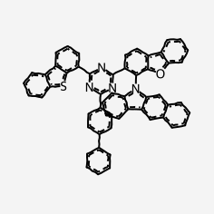 c1ccc(-c2ccc(-c3nc(-c4ccc5c(oc6ccccc65)c4-n4c5ccccc5c5cc6ccccc6cc54)nc(-c4cccc5c4sc4ccccc45)n3)cc2)cc1